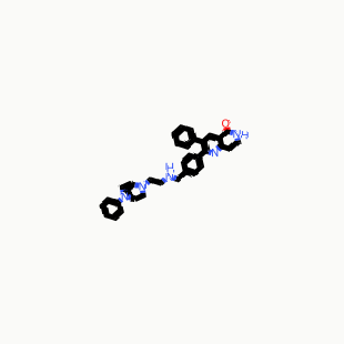 O=c1[nH]ccc2nc(-c3ccc(CNCCN4CC5CC4CN5c4ccccc4)cc3)c(-c3ccccc3)cc12